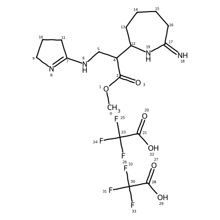 COC(=O)C(CNC1=NCCC1)C1CCCCC(=N)N1.O=C(O)C(F)(F)F.O=C(O)C(F)(F)F